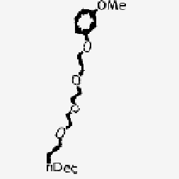 CCCCCCCCCCCCOCCOCCOCCOc1cccc(OC)c1